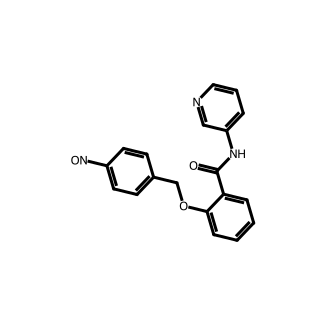 O=Nc1ccc(COc2ccccc2C(=O)Nc2cccnc2)cc1